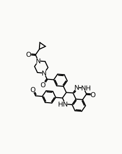 O=Cc1ccc(C2Nc3cccc4c(=O)[nH]nc(c34)C2c2cccc(C(=O)N3CCN(C(=O)C4CC4)CC3)c2)cc1